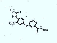 CC(C)(C)OC(=O)c1cc(Oc2ccc(NC(=O)C(F)(F)F)c([N+](=O)[O-])c2)ccn1